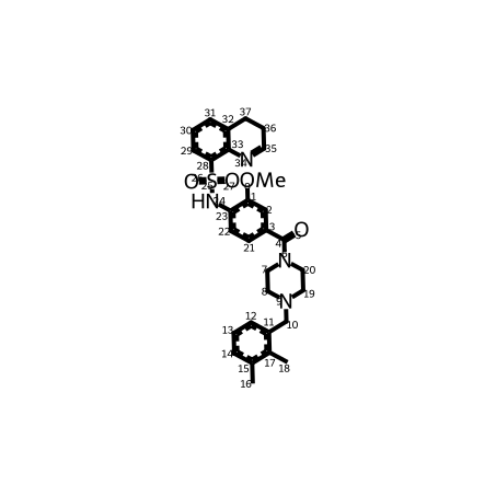 COc1cc(C(=O)N2CCN(Cc3cccc(C)c3C)CC2)ccc1NS(=O)(=O)c1cccc2c1N=CCC2